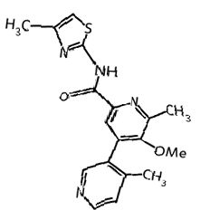 COc1c(-c2cnccc2C)cc(C(=O)Nc2nc(C)cs2)nc1C